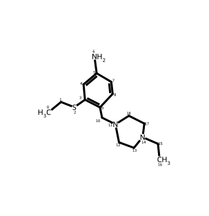 CCSc1cc(N)ccc1CN1CCN(CC)CC1